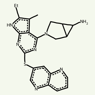 CCc1[nH]c2nc(Sc3cnc4cccnc4c3)nc(N3CC4C(N)C4C3)c2c1C